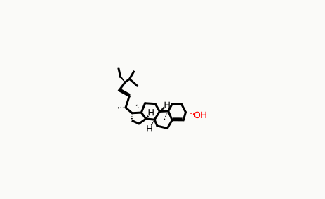 CC[C@H](C=C[C@@H](C)[C@H]1CC[C@H]2[C@@H]3CCC4=C[C@@H](O)CC[C@]4(C)[C@H]3CC[C@]12C)C(C)C